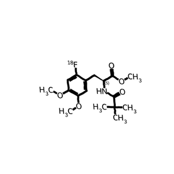 COC(=O)[C@H](Cc1cc(OC)c(OC)cc1[18F])NC(=O)C(C)(C)C